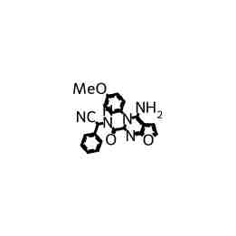 COc1ccc(N2C(N)=c3ccoc3=NC2C(=O)NC(C#N)c2ccccc2)cc1